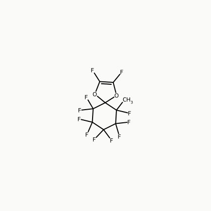 CC1(F)C(F)(F)C(F)(F)C(F)(F)C(F)(F)C12OC(F)=C(F)O2